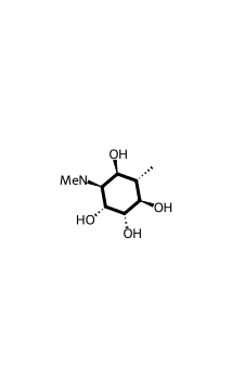 CN[C@H]1[C@@H](O)[C@H](C)[C@@H](O)[C@H](O)[C@@H]1O